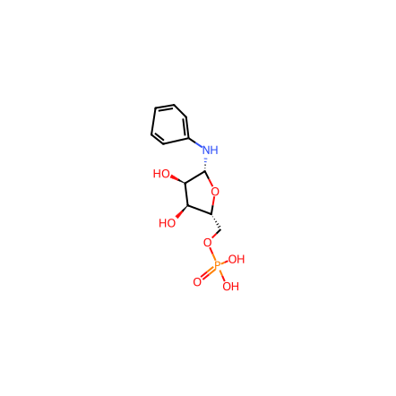 O=P(O)(O)OC[C@H]1O[C@@H](Nc2ccccc2)[C@H](O)[C@@H]1O